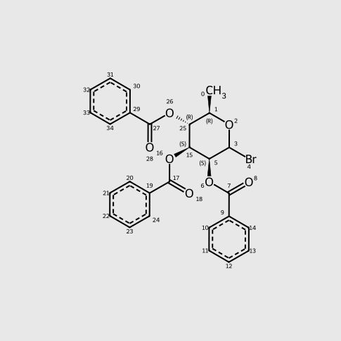 C[C@H]1OC(Br)[C@@H](OC(=O)c2ccccc2)[C@@H](OC(=O)c2ccccc2)[C@@H]1OC(=O)c1ccccc1